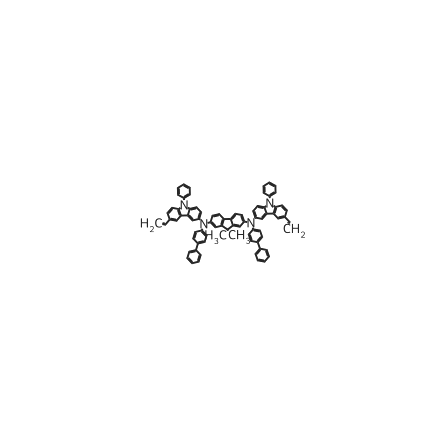 C=Cc1ccc2c(c1)c1cc(N(c3ccc(-c4ccccc4)cc3)c3ccc4c(c3)C(C)(C)c3cc(N(c5ccc(-c6ccccc6)cc5)c5ccc6c(c5)c5cc(C=C)ccc5n6-c5ccccc5)ccc3-4)ccc1n2-c1ccccc1